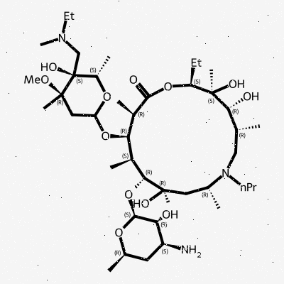 CCCN1C[C@@H](C)[C@@H](O)[C@](C)(O)[C@H](CC)OC(=O)[C@H](C)[C@H](OC2C[C@@](C)(OC)[C@](O)(CN(C)CC)[C@H](C)O2)[C@H](C)[C@@H](O[C@@H]2O[C@H](C)C[C@H](N)[C@H]2O)[C@](C)(O)C[C@H]1C